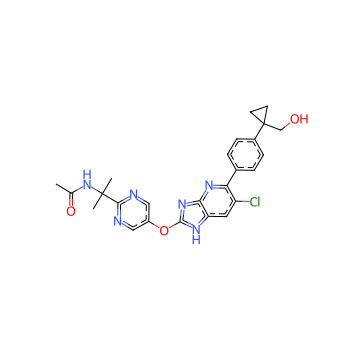 CC(=O)NC(C)(C)c1ncc(Oc2nc3nc(-c4ccc(C5(CO)CC5)cc4)c(Cl)cc3[nH]2)cn1